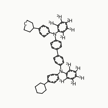 [2H]c1c([2H])c([2H])c(N(c2ccc(-c3ccc(N(c4ccc(C5CCCCC5)cc4)c4c([2H])c([2H])c([2H])c([2H])c4[2H])cc3)cc2)c2ccc(C3CCCCC3)cc2)c([2H])c1[2H]